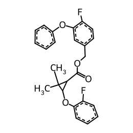 CC1(C)C(Oc2ccccc2F)C1C(=O)OCc1ccc(F)c(Oc2ccccc2)c1